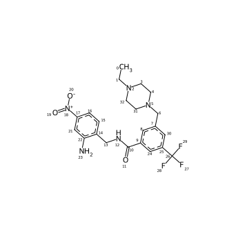 CCN1CCN(Cc2cc(C(=O)NCc3ccc([N+](=O)[O-])cc3N)cc(C(F)(F)F)c2)CC1